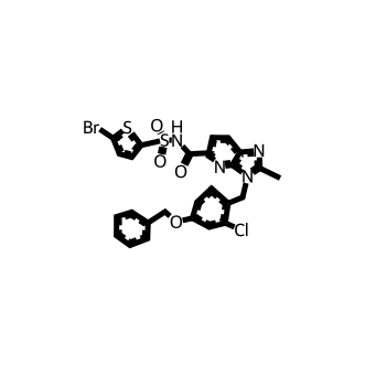 Cc1nc2ccc(C(=O)NS(=O)(=O)c3ccc(Br)s3)nc2n1Cc1ccc(OCc2ccccc2)cc1Cl